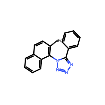 CC(C)c1ccc2ccccc2c1-n1nnnc1-c1ccccc1